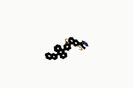 C/C=C\c1c(C)sc2cc3c(ccc4sc5cc(-c6c7ccccc7c(-c7ccc8c(c7)CCC=C8)c7ccccc67)ccc5c43)cc12